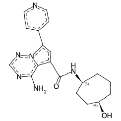 Nc1ncnn2c(-c3ccncc3)cc(C(=O)N[C@H]3CCC[C@@H](O)CC3)c12